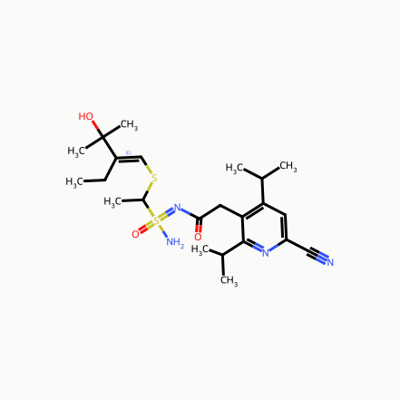 CC/C(=C\SC(C)S(N)(=O)=NC(=O)Cc1c(C(C)C)cc(C#N)nc1C(C)C)C(C)(C)O